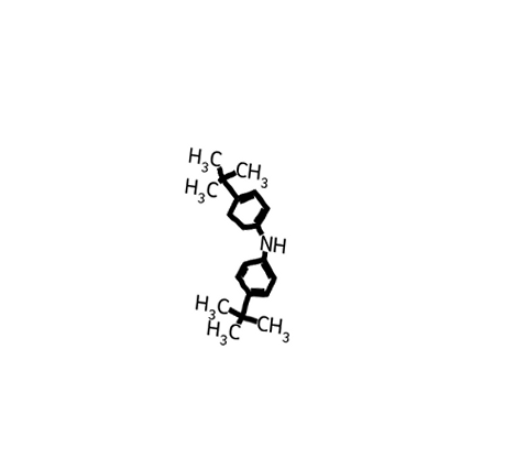 CC(C)(C)C1=CC=C(Nc2ccc(C(C)(C)C)cc2)CC1